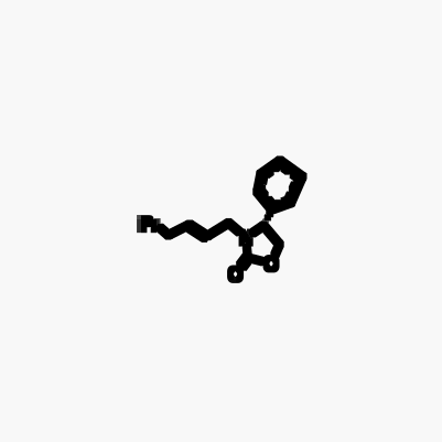 CC(C)CC=CCN1C(=O)OC[C@H]1c1ccccc1